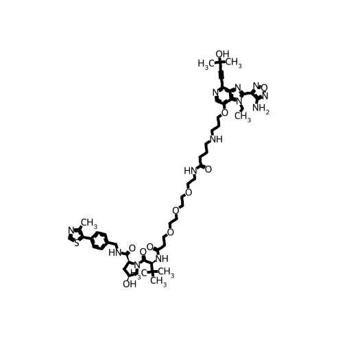 CCn1c(-c2nonc2N)nc2c(C#CC(C)(C)O)ncc(OCCCNCCCC(=O)NCCOCCOCCOCCC(=O)N[C@H](C(=O)N3C[C@H](O)C[C@H]3C(=O)NCc3ccc(-c4scnc4C)cc3)C(C)(C)C)c21